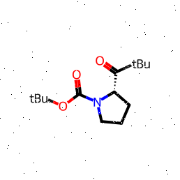 CC(C)(C)OC(=O)N1CCC[C@H]1C(=O)C(C)(C)C